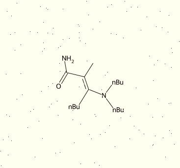 CCCC/C(=C(/C)C(N)=O)N(CCCC)CCCC